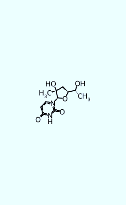 C[C@@H](O)[C@@H]1C[C@@](C)(O)[C@H](n2ccc(=O)[nH]c2=O)O1